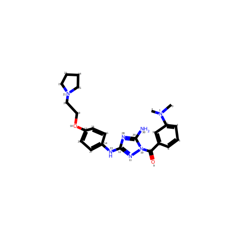 CN(C)c1cccc(C(=O)n2nc(Nc3ccc(OCCN4CCCC4)cc3)nc2N)c1